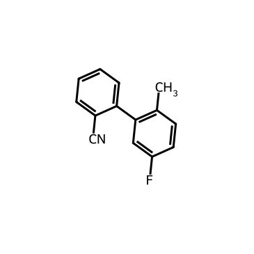 Cc1ccc(F)cc1-c1ccccc1C#N